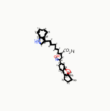 O=C(O)[C@H](CCCCCCc1c[nH]c2ccccc12)CC(=NO)c1ccc2c3c(oc2c1)CCC3